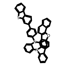 c1ccc(-n2c3ccccc3c3ccccc32)c(N(c2ccc(-c3ccc4c(c3)sc3ccccc34)cc2)c2cccc3oc4c5ccccc5ccc4c23)c1